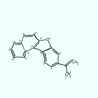 C=C(C)c1ccc2c(c1)oc1ccc3ccccc3c12